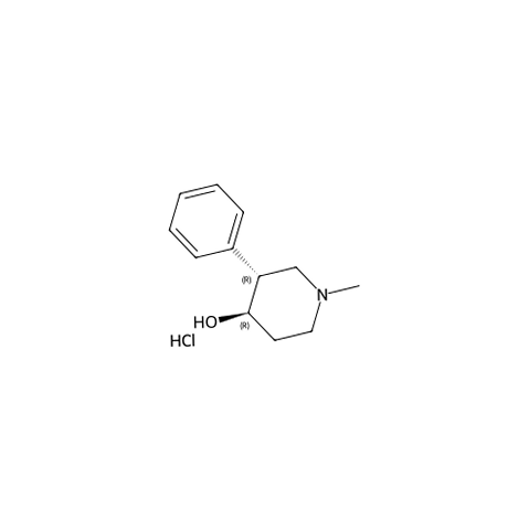 CN1CC[C@@H](O)[C@H](c2ccccc2)C1.Cl